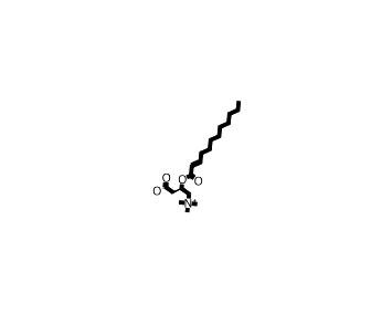 CCCCCCCCCC=CC(=O)O[C@H](CC(=O)[O-])C[N+](C)(C)C